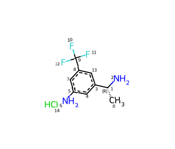 C[C@@H](N)c1cc(N)cc(C(F)(F)F)c1.Cl